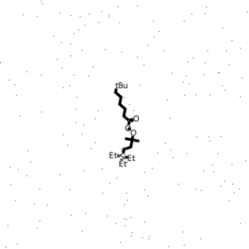 CC[Si](CC)(CC)CCC(C)(C)OOC(=O)CCCCCC(C)(C)C